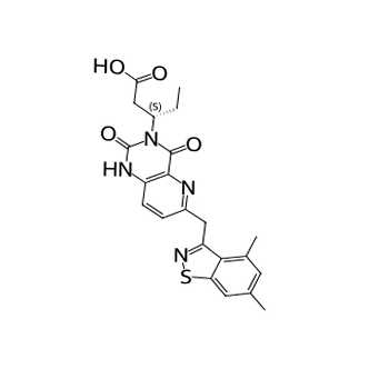 CC[C@@H](CC(=O)O)n1c(=O)[nH]c2ccc(Cc3nsc4cc(C)cc(C)c34)nc2c1=O